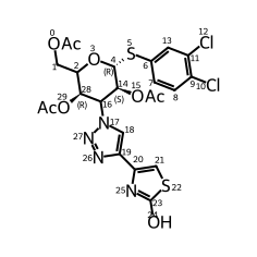 CC(=O)OCC1O[C@H](Sc2ccc(Cl)c(Cl)c2)[C@@H](OC(C)=O)C(n2cc(-c3csc(O)n3)nn2)[C@H]1OC(C)=O